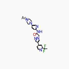 CC(=O)N1CCN(c2ccc(NC(=O)Cn3cc(-c4ccnc(C(C)(F)F)c4)cn3)nc2)CC1